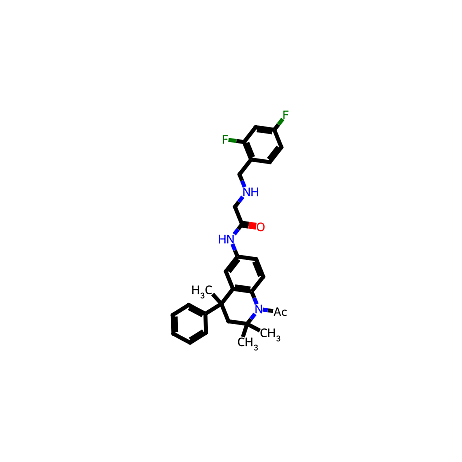 CC(=O)N1c2ccc(NC(=O)CNCc3ccc(F)cc3F)cc2C(C)(c2ccccc2)CC1(C)C